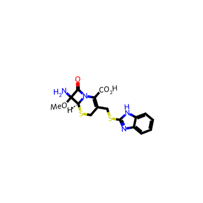 COC1(N)C(=O)N2C(C(=O)O)=C(CSc3nc4ccccc4[nH]3)CS[C@H]21